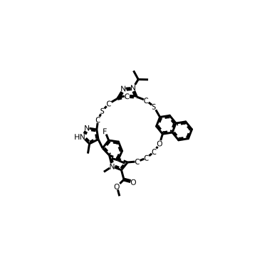 COC(=O)c1c2c3ccc(F)c(c3n1C)-c1c(n[nH]c1C)CSCc1cc(n(C(C)C)n1)CSc1cc(c3ccccc3c1)OCCC2